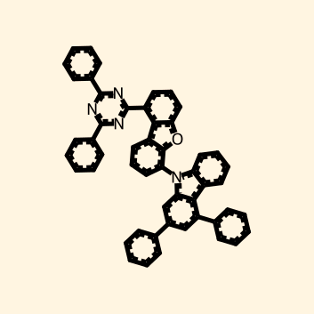 c1ccc(-c2cc(-c3ccccc3)c3c4ccccc4n(-c4cccc5c4oc4cccc(-c6nc(-c7ccccc7)nc(-c7ccccc7)n6)c45)c3c2)cc1